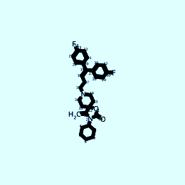 C=C1N(C2CCCCC2)C(=O)OC12CCN(CCC=C(c1ccc(F)cc1)c1ccc(F)cc1)CC2